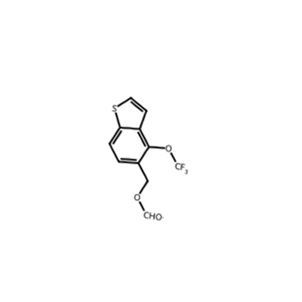 O=[C]OCc1ccc2sccc2c1OC(F)(F)F